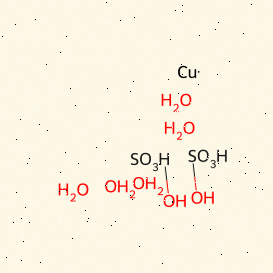 O.O.O.O.O.O=S(=O)(O)O.O=S(=O)(O)O.[Cu]